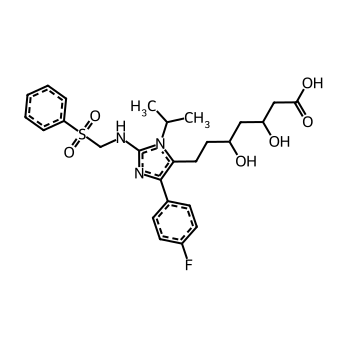 CC(C)n1c(NCS(=O)(=O)c2ccccc2)nc(-c2ccc(F)cc2)c1CCC(O)CC(O)CC(=O)O